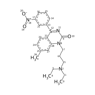 CCN(CC)CCCN1C(=O)N=S(c2cccc([N+](=O)[O-])c2)c2ccc(C)cc21